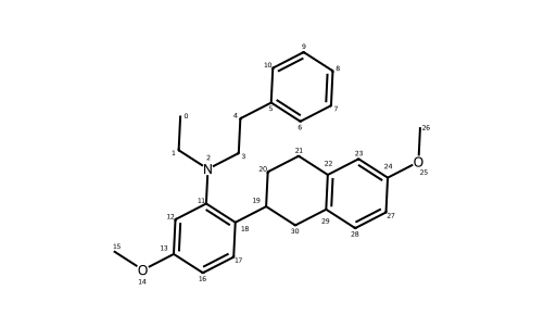 CCN(CCc1ccccc1)c1cc(OC)ccc1C1CCc2cc(OC)ccc2C1